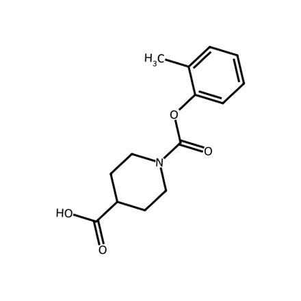 Cc1ccccc1OC(=O)N1CCC(C(=O)O)CC1